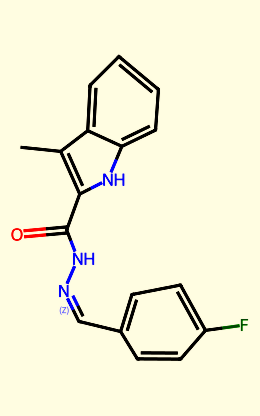 Cc1c(C(=O)N/N=C\c2ccc(F)cc2)[nH]c2ccccc12